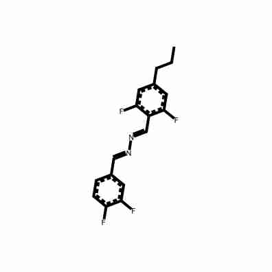 CCCc1cc(F)c(/C=N/N=C/c2ccc(F)c(F)c2)c(F)c1